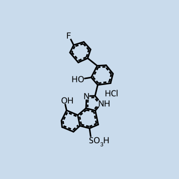 Cl.O=S(=O)(O)c1cc2[nH]c(-c3cccc(-c4ccc(F)cc4)c3O)nc2c2c(O)cccc12